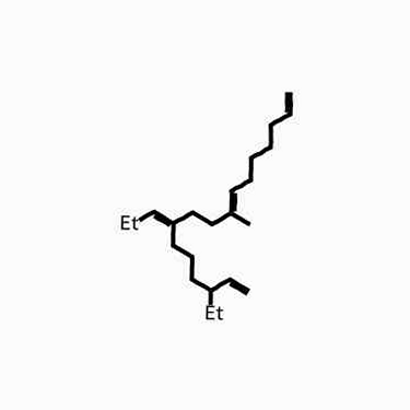 C=CCCCCC=C(C)CCC(=CCC)CCCC(C=C)CC